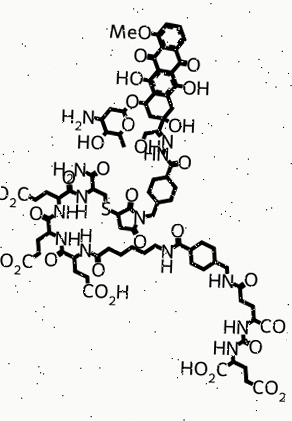 COc1cccc2c1C(=O)c1c(O)c3c(c(O)c1C2=O)CC(O)(/C(CO)=N/NC(=O)C1CCC(CN2C(=O)CC(SCC(NC(=O)C(CCC(=O)O)NC(=O)C(CCC(=O)O)NC(=O)C(CCC(=O)O)NC(=O)CCCCCNC(=O)C4CCC(CNC(=O)CCC(NC(=O)NC(CCC(=O)O)C(=O)O)C(=O)O)CC4)C(N)=O)C2=O)CC1)CC3OC1CC(N)C(O)C(C)O1